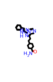 NC(=O)C1CCC(CCC2=C3C=NC=C[N+]3(N)C(c3cc4ccccc4[nH]3)=N2)CC1